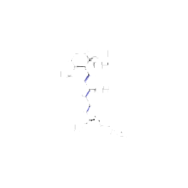 CC(=O)OCCN=C(C)/C=C/C=C(C)/C=C/C1=C(C)CCCC1(C)C